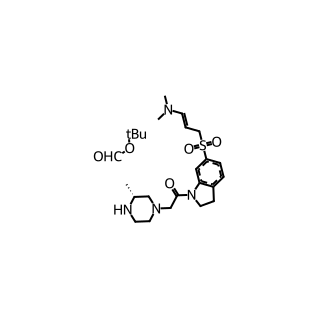 CC(C)(C)OC=O.C[C@@H]1CN(CC(=O)N2CCc3ccc(S(=O)(=O)CC=CN(C)C)cc32)CCN1